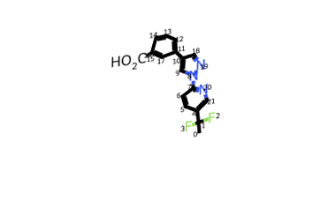 CC(F)(F)c1ccc(-n2cc(-c3cccc(C(=O)O)c3)cn2)nc1